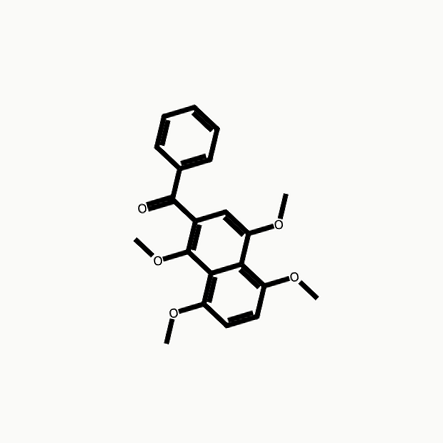 COc1ccc(OC)c2c(OC)c(C(=O)c3ccccc3)cc(OC)c12